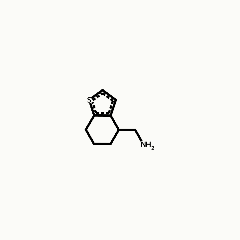 NCC1CCCc2sccc21